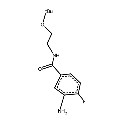 CC(C)(C)OCCNC(=O)c1ccc(F)c(N)c1